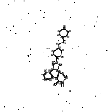 O=c1[nH]ccc2c3sc(N4CCC(CCN5CCOCC5)CC4)nc3c3ccncc3c12